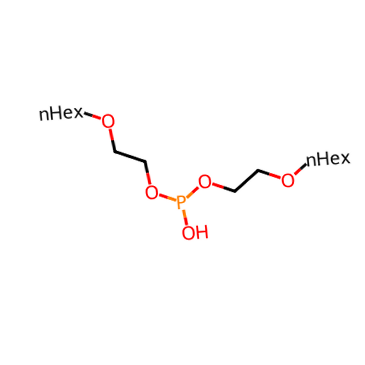 CCCCCCOCCOP(O)OCCOCCCCCC